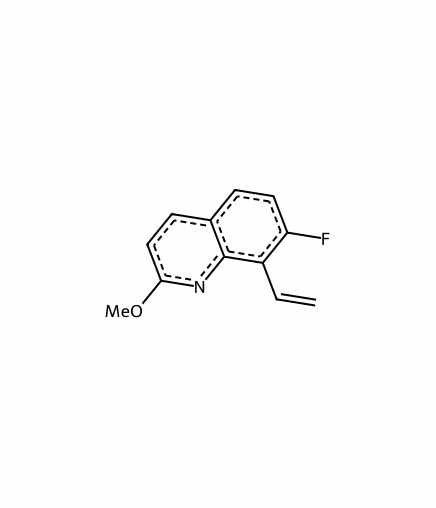 C=Cc1c(F)ccc2ccc(OC)nc12